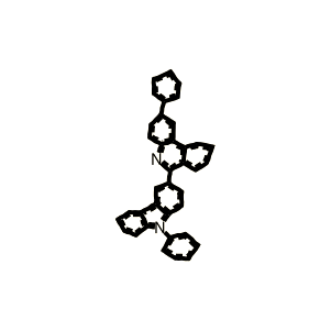 c1ccc(-c2ccc3nc(-c4ccc5c(c4)c4ccccc4n5-c4ccccc4)c4ccccc4c3c2)cc1